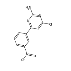 Nc1nc(Cl)cc(-c2cccc([N+](=O)[O-])c2)n1